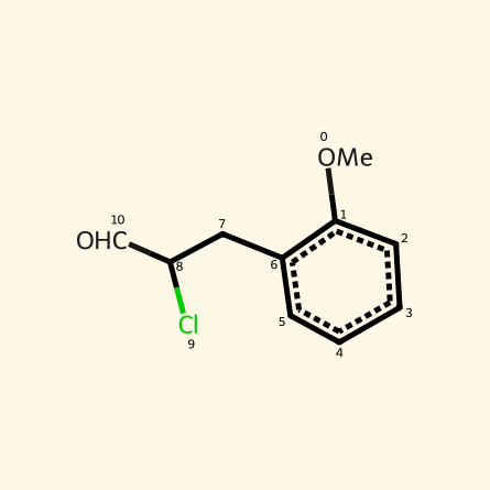 COc1ccccc1CC(Cl)C=O